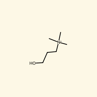 C[N+](C)(C)CCCO